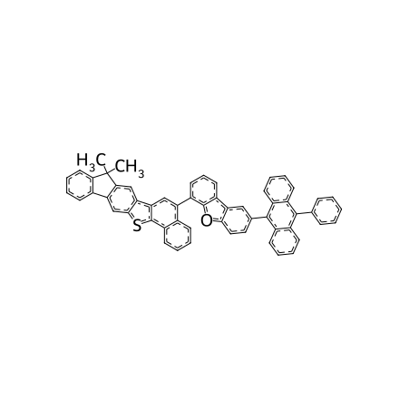 CC1(C)c2ccccc2-c2cc3sc4c5ccccc5c(-c5cccc6c5oc5ccc(-c7c8ccccc8c(-c8ccccc8)c8ccccc78)cc56)cc4c3cc21